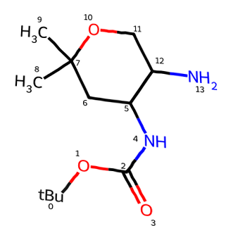 CC(C)(C)OC(=O)NC1CC(C)(C)OCC1N